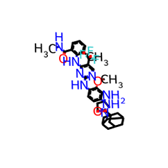 CNC(=O)c1cccc(C)c1Nc1nc(Nc2ccc(NC(=O)C34CC5CC(C3)C(N3CCC(N)C3)C(C5)C4)cc2OC)ncc1C(F)(F)F